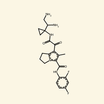 Cc1c(C(=O)C(=O)NC2(C(N)CN)CC2)c2n(c1C(=O)Nc1ccc(F)cc1F)CCC2